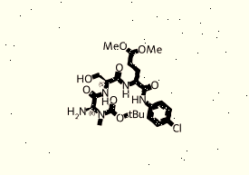 COC(CCC(NC(=O)[C@H](CO)NC(=O)[C@H](N)N(C)C(=O)OC(C)(C)C)C(=O)Nc1ccc(Cl)cc1)OC